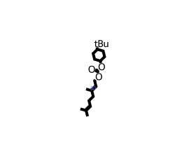 CC(C)=CCC/C(C)=C/COC(=O)OC1CCC(C(C)(C)C)CC1